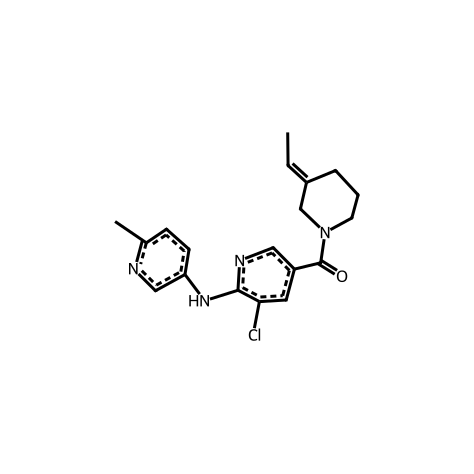 CC=C1CCCN(C(=O)c2cnc(Nc3ccc(C)nc3)c(Cl)c2)C1